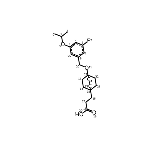 CC(C)Oc1cc(F)cc(COC23CCC(CCC(=O)O)(CC2)CC3)c1